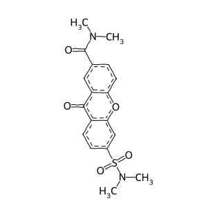 CN(C)C(=O)c1ccc2oc3cc(S(=O)(=O)N(C)C)ccc3c(=O)c2c1